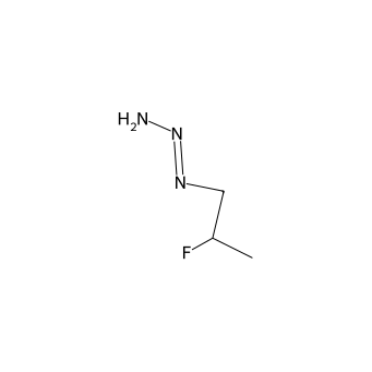 CC(F)CN=NN